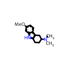 COc1ccc2c3c([nH]c2c1)CCC(N(C)C)C3